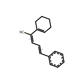 N#C/C(=C/C=C/c1ccccc1)C1=CCCCC1